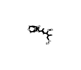 CCOCC(C)C(/C=C(\C)CC(=O)N1C2CCC1COC2)OCC